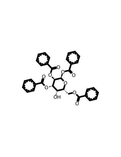 O=C(OC[C@H]1O[C@H](OC(=O)c2ccccc2)[C@H](OC(=O)c2ccccc2)[C@@H](OC(=O)c2ccccc2)[C@H]1O)c1ccccc1